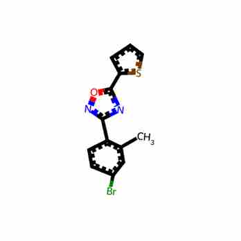 Cc1cc(Br)ccc1-c1noc(-c2cccs2)n1